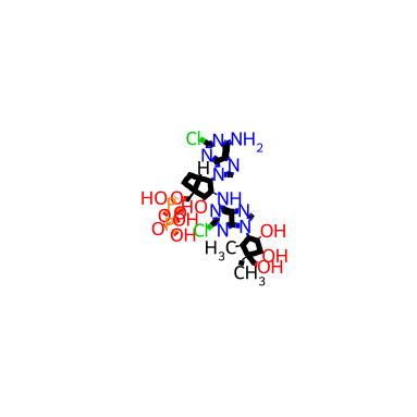 CC[C@]1(CO)[C@H](C)[C@@H](n2cnc3c(N[C@H]4[C@H](n5cnc6c(N)nc(Cl)nc65)[C@H]5CC[C@@]5(COP(=O)(O)OP(=O)(O)O)[C@H]4O)nc(Cl)nc32)[C@H](O)[C@@H]1O